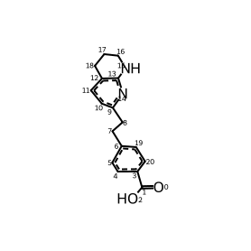 O=C(O)c1ccc(CCc2ccc3c(n2)NCCC3)cc1